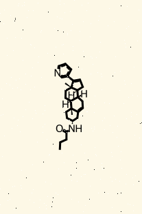 CCCC(=O)N[C@@H]1CC[C@@]2(C)C(=CC[C@@H]3[C@@H]2CC[C@]2(C)C(c4cccnc4)=CC[C@@H]32)C1